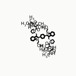 CN[C@@H](C)C(=O)NC(C(=O)N1CCC[C@H]1Cc1c(-c2ccc(-c3c(C[C@@H]4CCCN4C(=O)[C@@H](NC(=O)[C@H](C)NC)C(C)(C)C)c4ccccc4n3CCO)cc2)n(CCO)c2ccccc12)C(C)(C)C